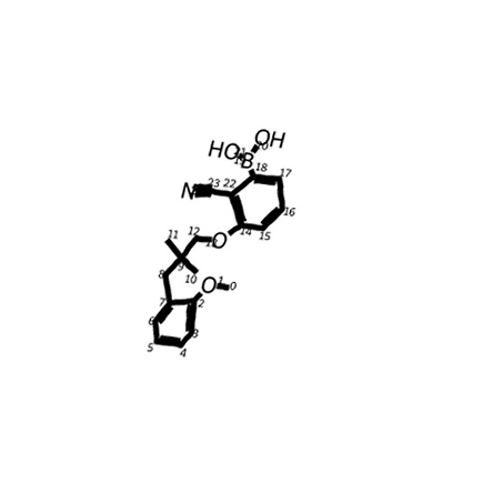 COc1ccccc1CC(C)(C)COc1cccc(B(O)O)c1C#N